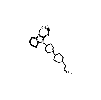 CCCC1CCC(N2CCC(n3/c(=N/C#N)n(CC)c4ccccc43)CC2)CC1